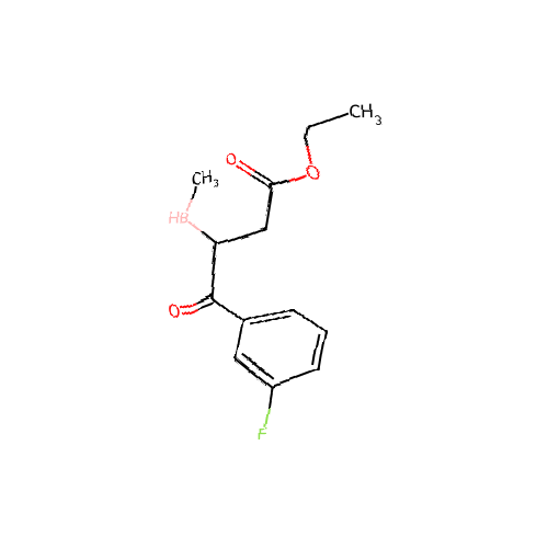 CBC(CC(=O)OCC)C(=O)c1cccc(F)c1